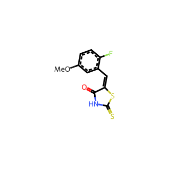 COc1ccc(F)c(/C=C2/SC(=S)NC2=O)c1